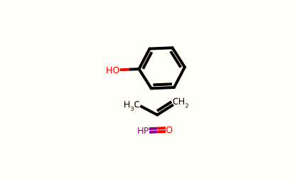 C=CC.O=P.Oc1ccccc1